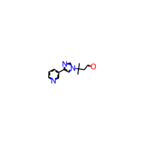 CC(C)(CC=O)n1cnc(-c2cccnc2)c1